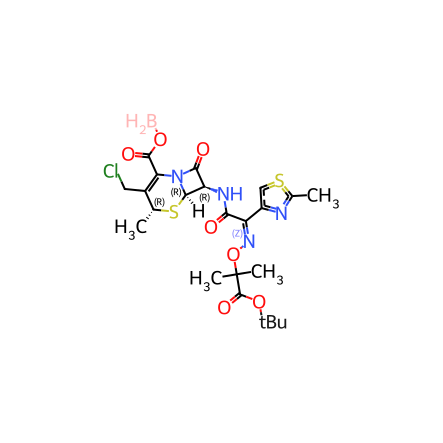 BOC(=O)C1=C(CCl)[C@@H](C)S[C@@H]2[C@H](NC(=O)/C(=N\OC(C)(C)C(=O)OC(C)(C)C)c3csc(C)n3)C(=O)N12